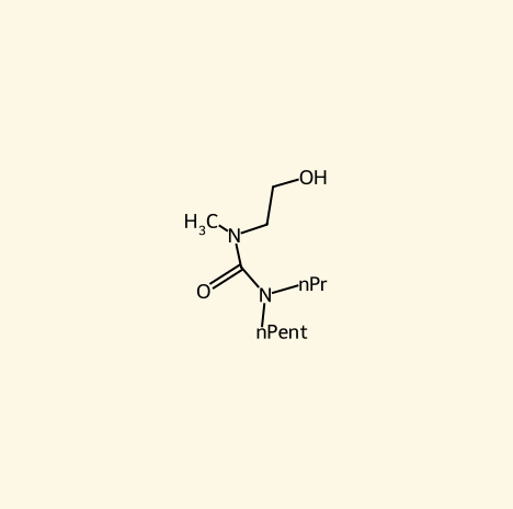 CCCCCN(CCC)C(=O)N(C)CCO